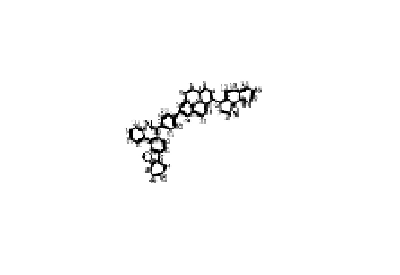 C1=CC2=CC=C(c3ccnc4c3ccc3cccnc34)C3=CC=C4C=C(c5ccc(-c6nc7ccccc7c7c6ccc6c8ccccc8oc67)cc5)C=C1C4C23